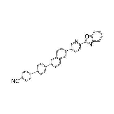 N#Cc1ccc(-c2ccc(-c3ccc4cc(-c5ccc(-c6nc7ccccc7o6)nc5)ccc4c3)cc2)cc1